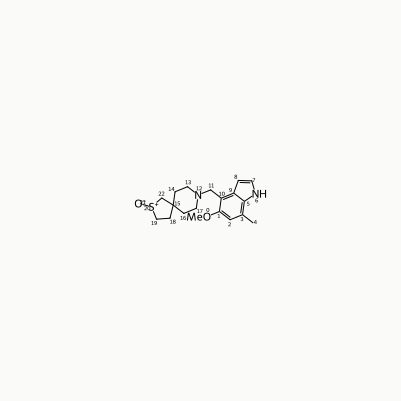 COc1cc(C)c2[nH]ccc2c1CN1CCC2(CC1)CC[S+]([O-])C2